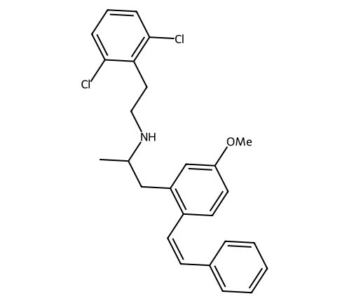 COc1ccc(/C=C\c2ccccc2)c(CC(C)NCCc2c(Cl)cccc2Cl)c1